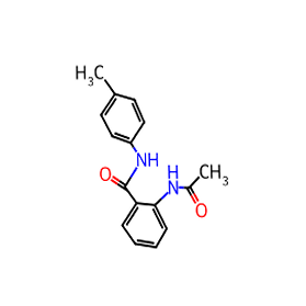 CC(=O)Nc1ccccc1C(=O)Nc1ccc(C)cc1